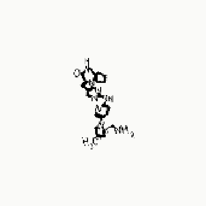 C[C@H]1C[C@H](CN)N(c2ccc(Nc3ncc4cc5n(c4n3)C3(CCCC3)CNC5=O)nc2)C1